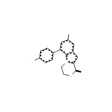 O=C1NCCn2c1cc1cc(F)cc(-c3ccc(C(F)(F)F)cc3)c12